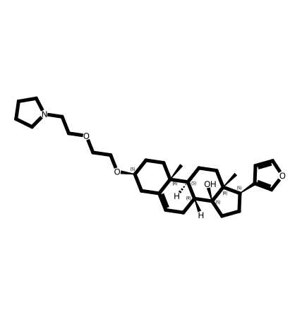 C[C@]12CC[C@H](OCCOCCN3CCCC3)CC1=CC[C@@H]1[C@@H]2CC[C@]2(C)[C@@H](c3ccoc3)CC[C@]12O